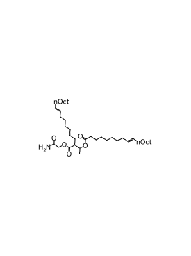 CCCCCCCCC=CCCCCCCCC(=O)OC(C)C(CCCCCCC=CCCCCCCCC)C(=O)OCC(N)=O